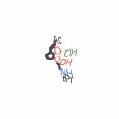 CC(=O)c1cc2cccc(OC[C@H](O)CNC(C)C)c2o1.Cl